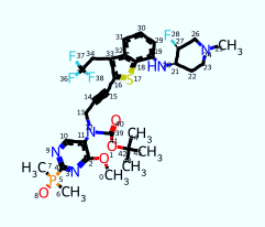 COc1nc(P(C)(C)=O)ncc1N(CC#Cc1sc2c(N[C@@H]3CCN(C)C[C@@H]3F)cccc2c1CC(F)(F)F)C(=O)OC(C)(C)C